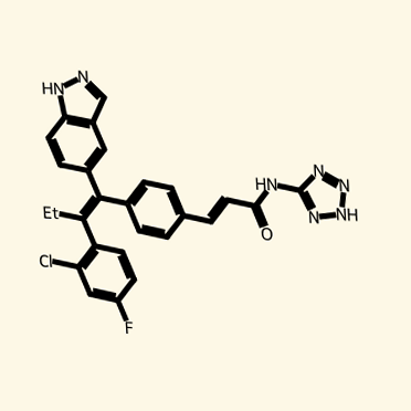 CC/C(=C(/c1ccc(/C=C/C(=O)Nc2nn[nH]n2)cc1)c1ccc2[nH]ncc2c1)c1ccc(F)cc1Cl